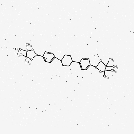 CC1(C)OB(c2ccc(C3CCC(c4ccc(B5OC(C)(C)C(C)(C)O5)cc4)CC3)cc2)OC1(C)C